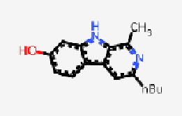 CCCCc1cc2c([nH]c3cc(O)ccc32)c(C)n1